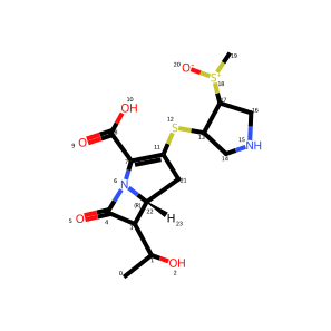 CC(O)C1C(=O)N2C(C(=O)O)=C(SC3CNCC3[S+](C)[O-])C[C@H]12